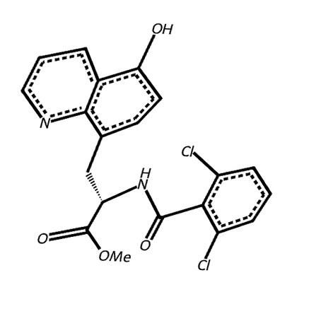 COC(=O)[C@H](Cc1ccc(O)c2cccnc12)NC(=O)c1c(Cl)cccc1Cl